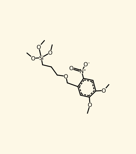 COc1cc(COCCC[Si](OC)(OC)OC)c([N+](=O)[O-])cc1OC